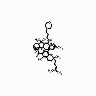 CC(C)=CCCC1(C)C=Cc2c(O)c3c(c(CC=C(C)C)c2O1)OC12C(=CC4CC1C(C)(C)OC2(C/C=C(/C)C(=O)NCCCN1CCOCC1)C4=O)C3=O